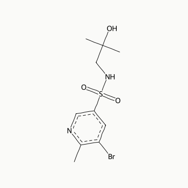 Cc1ncc(S(=O)(=O)NCC(C)(C)O)cc1Br